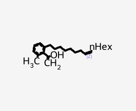 C=C(O)c1c(C)cccc1CCCCCCC/C=C\CCCCCC